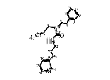 CC(=O)SCCN(CCc1ccccc1)C(=O)NCCCc1cccnc1